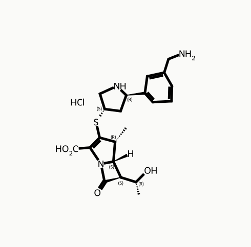 C[C@@H](O)[C@H]1C(=O)N2C(C(=O)O)=C(S[C@@H]3CN[C@@H](c4cccc(CN)c4)C3)[C@H](C)[C@H]12.Cl